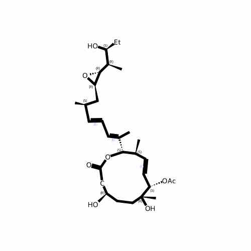 CC[C@H](O)[C@@H](C)[C@H]1O[C@@H]1C[C@H](C)/C=C/C=C(\C)[C@H]1OC(=O)C[C@H](O)CC[C@@](C)(O)[C@@H](OC(C)=O)/C=C/[C@@H]1C